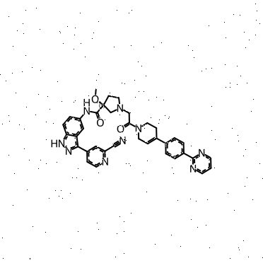 CO[C@@]1(C(=O)Nc2ccc3[nH]nc(-c4ccnc(C#N)c4)c3c2)CCN(CC(=O)N2CC=C(c3ccc(-c4ncccn4)cc3)CC2)C1